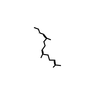 CC[CH]C=C(C)CCC=C(C)CCC=C(C)C